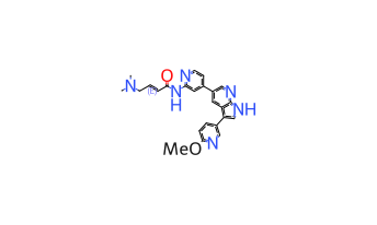 COc1ccc(-c2c[nH]c3ncc(-c4ccnc(NC(=O)/C=C/CN(C)C)c4)cc23)cn1